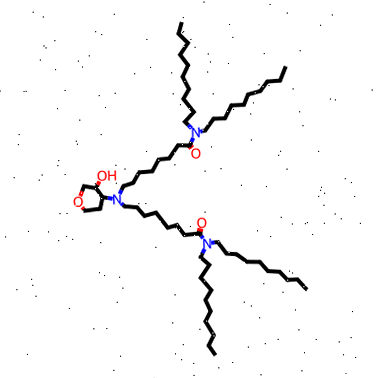 CCCCCCCCCCN(CCCCCCCCCC)C(=O)CCCCCCCN(CCCCCCCC(=O)N(CCCCCCCCCC)CCCCCCCCCC)C1CCOCC1O